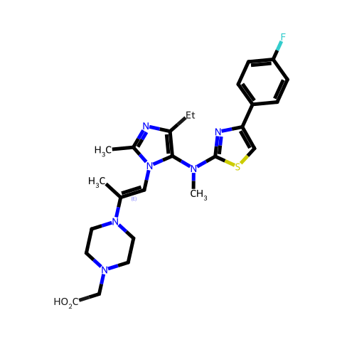 CCc1nc(C)n(/C=C(\C)N2CCN(CC(=O)O)CC2)c1N(C)c1nc(-c2ccc(F)cc2)cs1